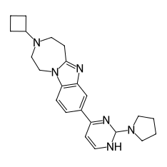 C1=CC(c2ccc3c(c2)nc2n3CCN(C3CCC3)CC2)=NC(N2CCCC2)N1